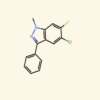 Cn1nc(-c2ccccc2)c2cc(Cl)c(F)cc21